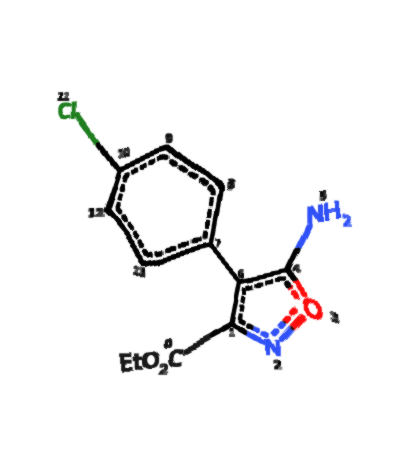 CCOC(=O)c1noc(N)c1-c1ccc(Cl)cc1